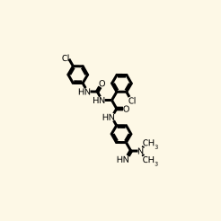 CN(C)C(=N)c1ccc(NC(=O)C(NC(=O)Nc2ccc(Cl)cc2)c2ccccc2Cl)cc1